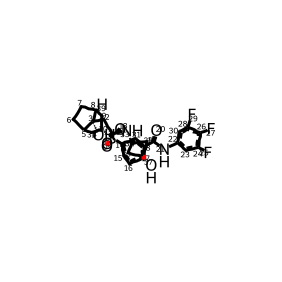 O=C(C[C@@]1(O)C2CC[C@H]1C[C@H](S(=O)(=O)c1cccc(C(=O)Nc3cc(F)c(F)c(F)c3)c1)C2)N[C@H]1C[C@H](O)C1